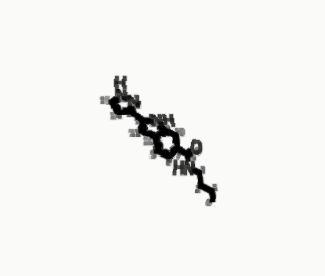 CCCCNC(=O)c1ccc2cc(-c3cc[nH]n3)[nH]c2c1